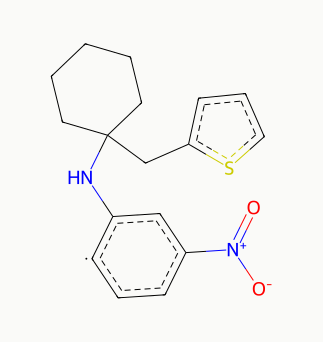 O=[N+]([O-])c1cc[c]c(NC2(Cc3cccs3)CCCCC2)c1